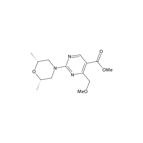 COCc1nc(N2C[C@@H](C)O[C@@H](C)C2)ncc1C(=O)OC